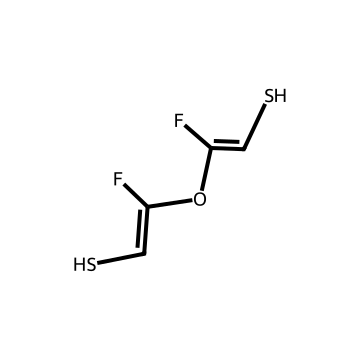 F/C(=C\S)O/C(F)=C/S